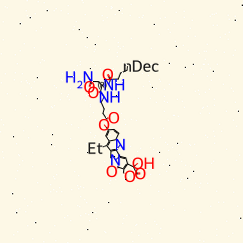 CCCCCCCCCCCCCC(=O)N[C@H](CC(N)=O)C(=O)NCCCC(=O)Oc1ccc2nc3c(c(CC)c2c1)Cn1c-3cc2c(c1=O)COC(=O)C2O